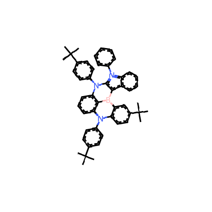 CC(C)(C)c1ccc(N2c3ccc(C(C)(C)C)cc3B3c4c2cccc4N(c2ccc(C(C)(C)C)cc2)c2c3c3ccccc3n2-c2ccccc2)cc1